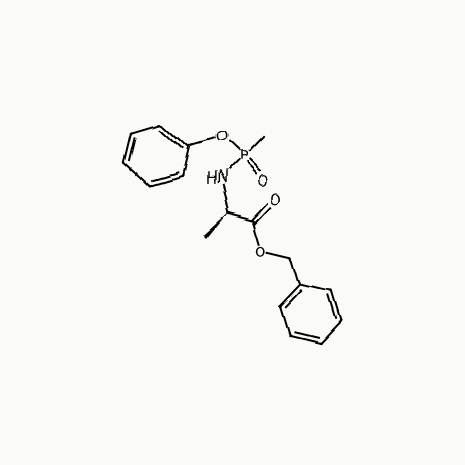 C[C@@H](NP(C)(=O)Oc1ccccc1)C(=O)OCc1ccccc1